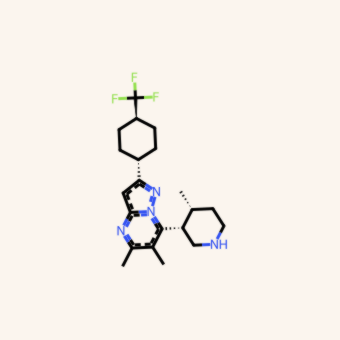 Cc1nc2cc([C@H]3CC[C@H](C(F)(F)F)CC3)nn2c([C@H]2CNCC[C@H]2C)c1C